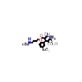 CCCCNCCCCOC(=O)C1=C(C)NC(C)=C(C(=O)O)C1c1cccc([N+](=O)[O-])c1